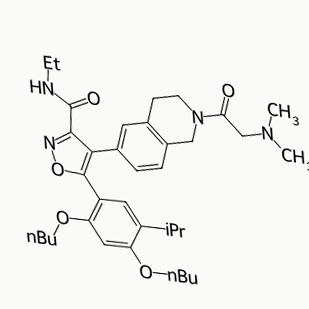 CCCCOc1cc(OCCCC)c(C(C)C)cc1-c1onc(C(=O)NCC)c1-c1ccc2c(c1)CCN(C(=O)CN(C)C)C2